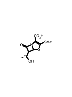 CSC1=C(C(=O)O)N2C(=O)C([C@@H](C)O)C2S1